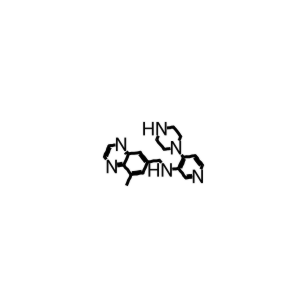 Cc1cc(CNc2cnccc2N2CCNCC2)cc2nccnc12